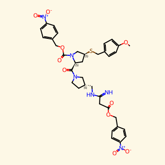 COc1ccc(CS[C@H]2C[C@@H](C(=O)N3CC[C@@H](CNC(=N)CC(=O)OCc4ccc([N+](=O)[O-])cc4)C3)N(C(=O)OCc3ccc([N+](=O)[O-])cc3)C2)cc1